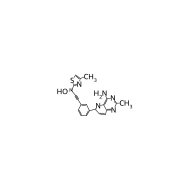 Cc1csc([C@@H](O)C#Cc2cccc(-c3ccc4nc(C)nc(N)c4n3)c2)n1